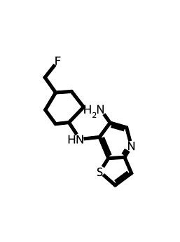 Nc1cnc2ccsc2c1NC1CCC(CF)CC1